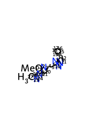 COc1nc(/C=C/c2nc3n(n2)CC[C@@H]3c2ccccc2)ccc1-n1cnc(C)c1